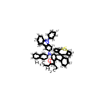 C=Cc1c(/C=C\C)oc2c(N(c3ccc4ccccc4c3)c3ccc4c(c3)c3ccccc3n4-c3ccccc3)cc3c(c12)C1C=CC=CC1C31c2ccccc2Sc2ccccc21